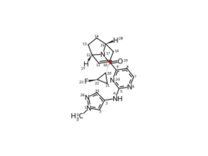 Cn1cc(Nc2nccc(C3=C[C@@H]4CC[C@H](C3)N4C(=O)[C@@H]3C[C@H]3F)n2)cn1